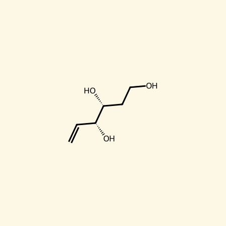 C=C[C@@H](O)[C@H](O)CCO